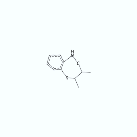 CC1CNc2ccccc2SC1C